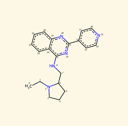 CCN1CCCC1CNc1nc(-c2ccncc2)nc2ccccc12